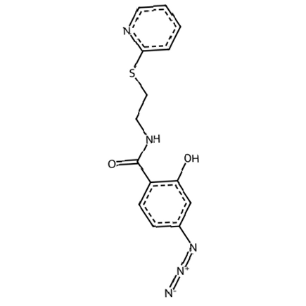 [N-]=[N+]=Nc1ccc(C(=O)NCCSc2ccccn2)c(O)c1